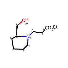 CCOC(=O)CCN1CCCC[C@H]1CO